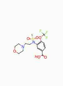 CS(=O)(=O)N(CCN1CCOCC1)c1cc(C(=O)O)ccc1OC(F)(F)F